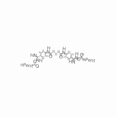 CCCCCC(=O)ONC(=N)c1ccc(NC(=O)CCCC(=O)Nc2ccc(C(=N)NOC(=O)CCCCC)cc2)cc1